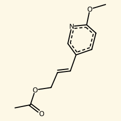 COc1ccc(/C=C/COC(C)=O)cn1